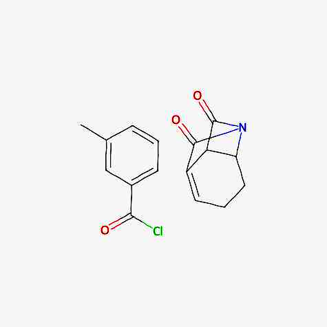 Cc1cccc(C(=O)Cl)c1.O=C1C2=CCCC3C2C(=O)N13